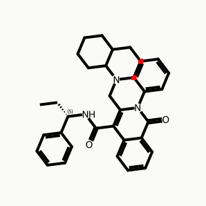 CC[C@H](NC(=O)c1c(CN2CCCC3CCCCC32)n(-c2ccccc2)c(=O)c2ccccc12)c1ccccc1